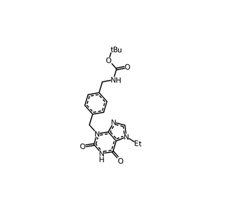 CCn1cnc2c1c(=O)[nH]c(=O)n2Cc1ccc(CNC(=O)OC(C)(C)C)cc1